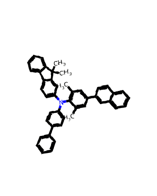 Cc1cc(-c2ccc3ccccc3c2)cc(C)c1N(c1ccc(-c2ccccc2)cc1)c1ccc2c(c1)C(C)(C)c1ccccc1-2